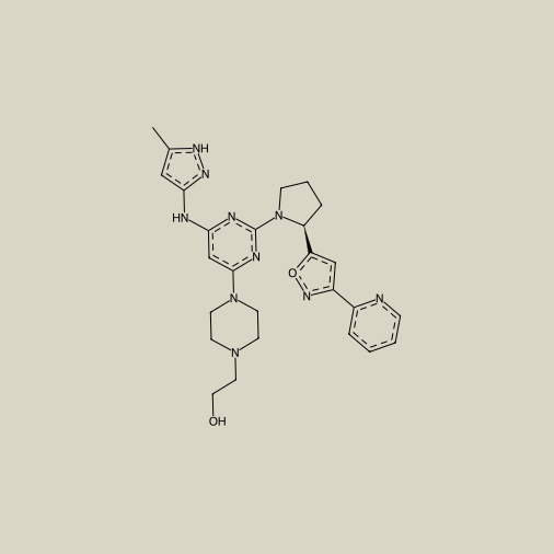 Cc1cc(Nc2cc(N3CCN(CCO)CC3)nc(N3CCC[C@H]3c3cc(-c4ccccn4)no3)n2)n[nH]1